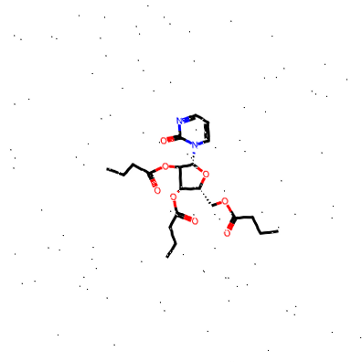 CCCC(=O)OC[C@H]1O[C@@H](n2cccnc2=O)C(OC(=O)CCC)[C@H]1OC(=O)CCC